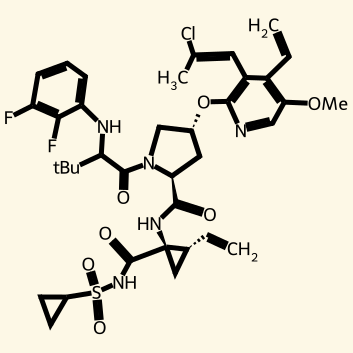 C=Cc1c(OC)cnc(O[C@@H]2C[C@@H](C(=O)N[C@]3(C(=O)NS(=O)(=O)C4CC4)C[C@H]3C=C)N(C(=O)C(Nc3cccc(F)c3F)C(C)(C)C)C2)c1/C=C(\C)Cl